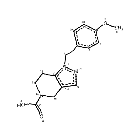 COc1ccc(Cn2ncc3c2CCN(C(=O)O)C3)cc1